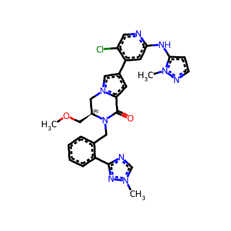 COC[C@H]1Cn2cc(-c3cc(Nc4ccnn4C)ncc3Cl)cc2C(=O)N1Cc1ccccc1-c1ncn(C)n1